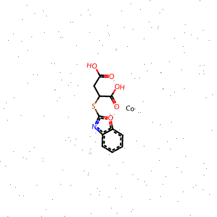 O=C(O)CC(Sc1nc2ccccc2o1)C(=O)O.[Co]